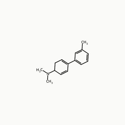 Cc1cccc(C2=CCC(N(C)C)C=C2)c1